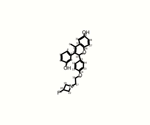 CC1=C(c2cccc(O)c2)C(c2ccc(OCCN3CC(F)C3)cc2)Oc2ccc(O)cc21